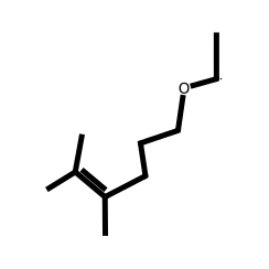 C[CH]OCCCC(C)=C(C)C